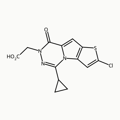 O=C(O)Cn1nc(C2CC2)n2c(cc3sc(Cl)cc32)c1=O